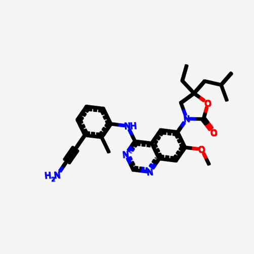 CCC1(CC(C)C)CN(c2cc3c(Nc4cccc(C#CN)c4C)ncnc3cc2OC)C(=O)O1